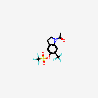 CC(=O)N1CCc2cc(OS(=O)(=O)C(F)(F)F)c(C(F)(F)F)cc21